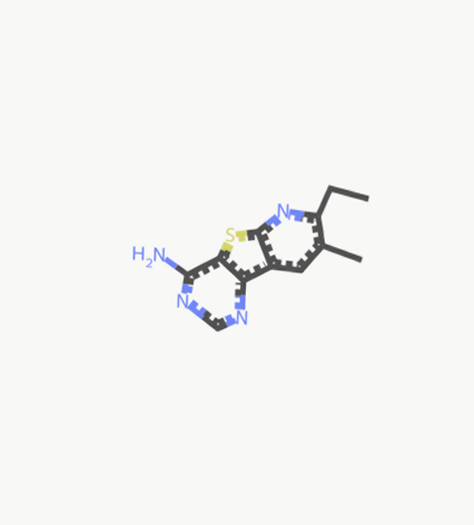 CCc1nc2sc3c(N)ncnc3c2cc1C